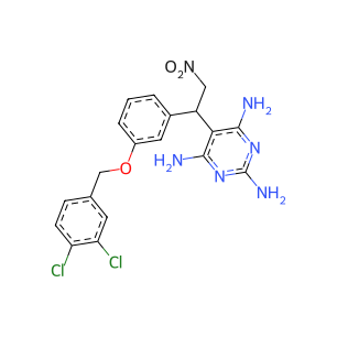 Nc1nc(N)c(C(C[N+](=O)[O-])c2cccc(OCc3ccc(Cl)c(Cl)c3)c2)c(N)n1